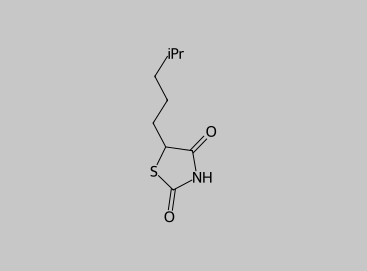 CC(C)CCCC1SC(=O)NC1=O